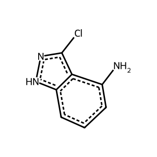 Nc1cccc2[nH]nc(Cl)c12